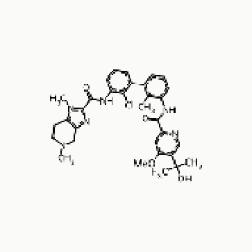 COc1cc(C(=O)Nc2cccc(-c3cccc(NC(=O)c4nc5c(n4C)CCN(C)C5)c3Cl)c2C)ncc1C(C)(C)O